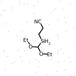 CCOC(OCC)[SiH2]CCC#N